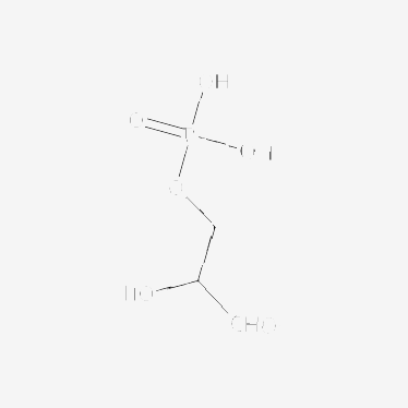 O=[C]C(O)COP(=O)(O)O